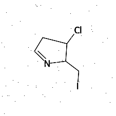 ClC1CC=NC1CI